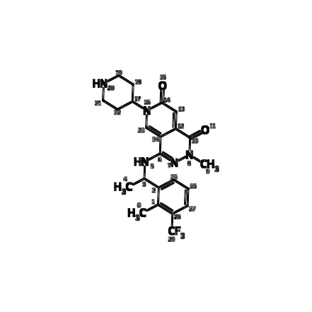 Cc1c(C(C)Nc2nn(C)c(=O)c3cc(=O)n(C4CCNCC4)cc23)cccc1C(F)(F)F